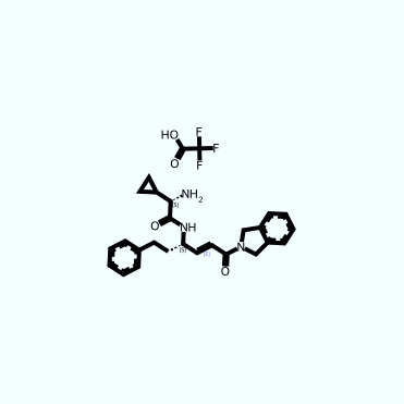 N[C@H](C(=O)N[C@H](/C=C/C(=O)N1Cc2ccccc2C1)CCc1ccccc1)C1CC1.O=C(O)C(F)(F)F